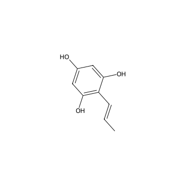 CC=Cc1c(O)cc(O)cc1O